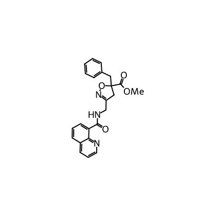 COC(=O)C1(Cc2ccccc2)CC(CNC(=O)c2cccc3cccnc23)=NO1